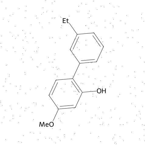 CCc1cccc(-c2ccc(OC)cc2O)c1